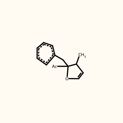 CC(=O)C1(Cc2ccccc2)OC=CC1C